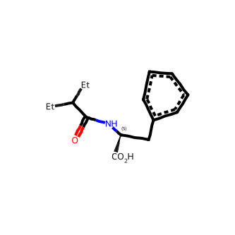 CCC(CC)C(=O)N[C@@H](Cc1ccccc1)C(=O)O